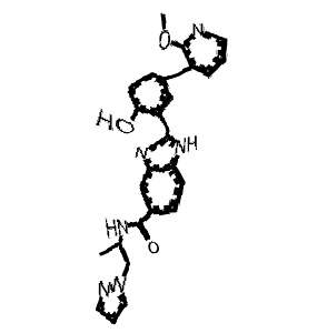 COc1ncccc1-c1ccc(O)c(-c2nc3cc(C(=O)NC(C)Cn4cccn4)ccc3[nH]2)c1